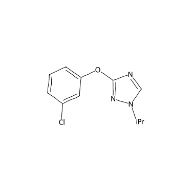 CC(C)n1cnc(Oc2cccc(Cl)c2)n1